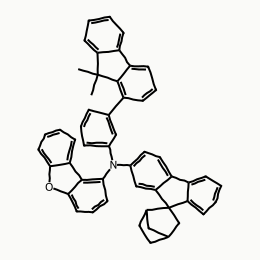 CC1(C)c2ccccc2-c2cccc(-c3cccc(N(c4ccc5c(c4)C4(CC6CCC4C6)c4ccccc4-5)c4cccc5oc6ccccc6c45)c3)c21